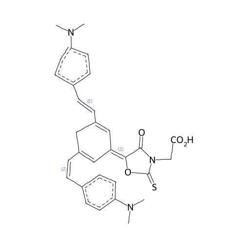 CN(C)c1ccc(/C=C\C2=CC(=C3\OC(=S)N(CC(=O)O)C3=O)/C=C(/C=C/c3ccc(N(C)C)cc3)C2)cc1